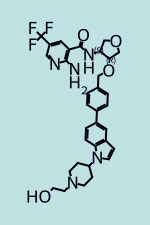 Nc1ncc(C(F)(F)F)cc1C(=O)N[C@H]1COC[C@@H]1OCc1ccc(-c2ccc3c(ccn3C3CCN(CCO)CC3)c2)cc1